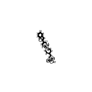 COS(=O)(=O)CCC1CCN(c2ncc(-c3cc4ccccc4o3)cn2)CC1